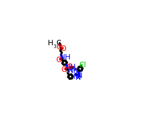 CCOC(=O)CCCNC(=O)c1ccc(NC(=O)[C@H](Cc2ccccc2)NC(=O)/C=C/c2cc(Cl)ccc2-n2cnnn2)cc1